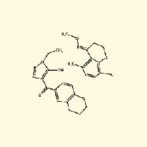 CCn1ncc(C(=O)c2ccc3c(c2)CCCS3)c1O.CON=C1CCSc2c(Cl)ccc(C)c21